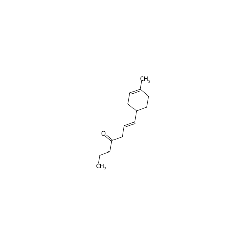 CCCC(=O)CC=CC1CC=C(C)CC1